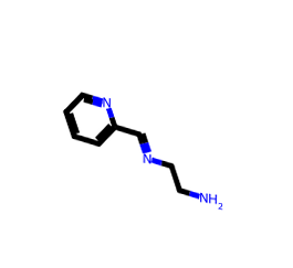 NCC/N=C/c1ccccn1